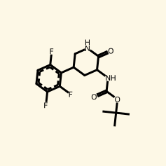 CC(C)(C)OC(=O)NC1CC(c2c(F)ccc(F)c2F)CNC1=O